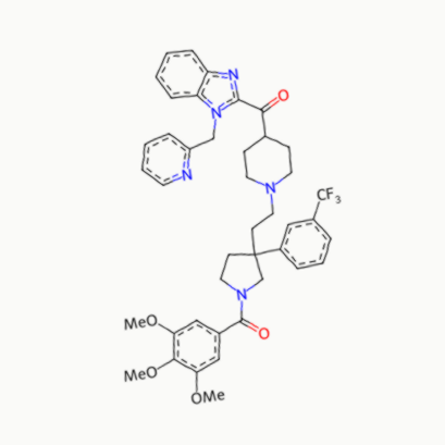 COc1cc(C(=O)N2CCC(CCN3CCC(C(=O)c4nc5ccccc5n4Cc4ccccn4)CC3)(c3cccc(C(F)(F)F)c3)C2)cc(OC)c1OC